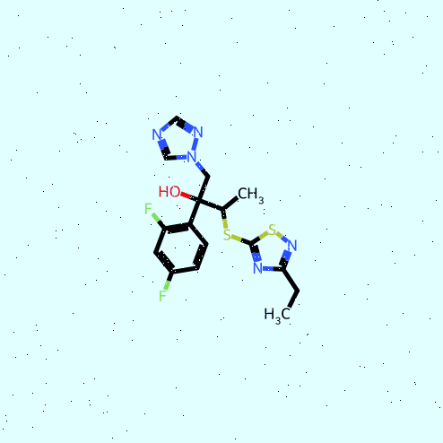 CCc1nsc(SC(C)C(O)(Cn2cncn2)c2ccc(F)cc2F)n1